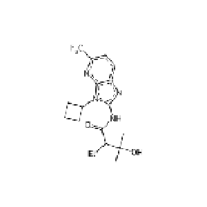 CCC(C(=O)Nc1nc2ccc(C(F)(F)F)nc2n1C1CCC1)C(C)(C)O